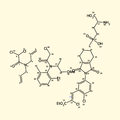 C=CCN(CC=C)C(=O)C(Cl)Cl.CCOC(=O)/C(Cl)=C/c1cc(N2C(=O)C3=C(CCCC3)C2=O)ccc1Cl.CCc1cccc(C)c1N(C(=O)CCl)C(C)COC.CP(=O)(O)CCC(N)C(=O)O